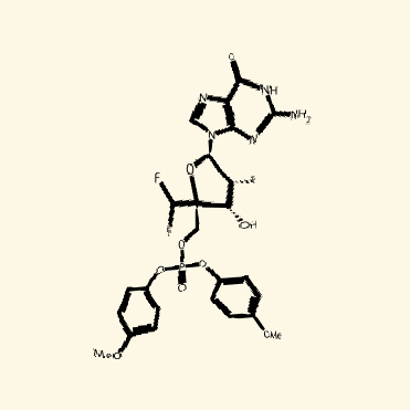 COc1ccc(OP(=O)(OC[C@@]2(C(F)F)O[C@@H](n3cnc4c(=O)[nH]c(N)nc43)[C@H](F)[C@@H]2O)Oc2ccc(OC)cc2)cc1